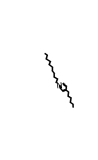 CCCCCCCCCCC[n+]1ccc(CCCCCC)cc1